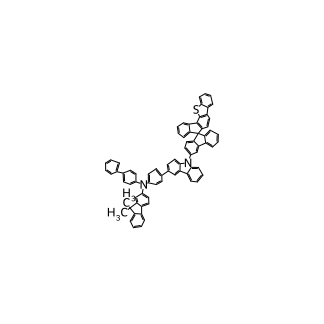 CC1(C)c2ccccc2-c2ccc(N(c3ccc(-c4ccccc4)cc3)c3ccc(-c4ccc5c(c4)c4ccccc4n5-c4ccc5c(c4)-c4ccccc4C54c5ccccc5-c5c4ccc4c5sc5ccccc54)cc3)cc21